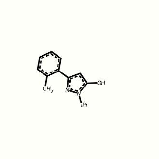 Cc1ccccc1-c1cc(O)n(C(C)C)n1